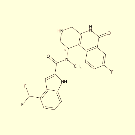 CN(C(=O)c1cc2c(C(F)F)cccc2[nH]1)[C@@H]1CNCc2[nH]c(=O)c3cc(F)ccc3c21